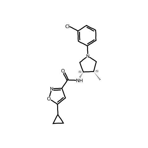 C[C@H]1CN(c2cccc(Cl)c2)C[C@H]1NC(=O)c1cc(C2CC2)on1